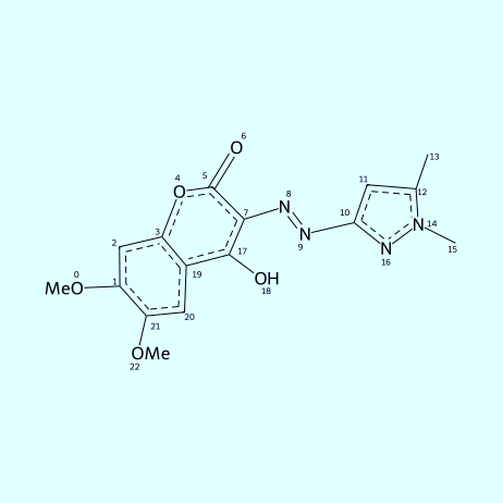 COc1cc2oc(=O)c(N=Nc3cc(C)n(C)n3)c(O)c2cc1OC